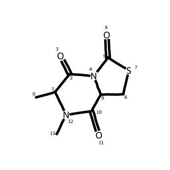 CC1C(=O)N2C(=O)SCC2C(=O)N1C